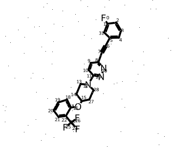 Fc1cccc(C#Cc2ccc(N3CCC(Oc4ccccc4C(F)(F)F)CC3)nn2)c1